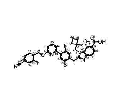 COCC1(Cn2c(Cc3cc(F)c(-c4cccc(OCc5ccc(C#N)cc5F)n4)cc3F)nc3ccc(C(=O)O)cc32)CCC1